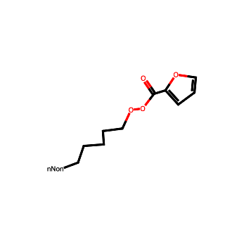 CCCCCCCCCCCCCCOOC(=O)c1ccco1